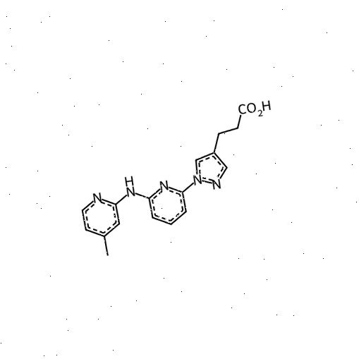 Cc1ccnc(Nc2cccc(-n3cc(CCC(=O)O)cn3)n2)c1